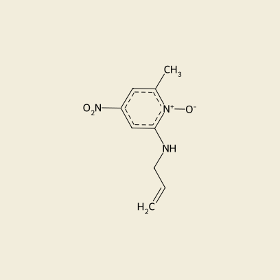 C=CCNc1cc([N+](=O)[O-])cc(C)[n+]1[O-]